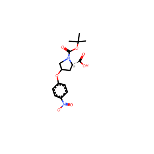 CC(C)(C)OC(=O)N1CC(Oc2ccc([N+](=O)[O-])cc2)C[C@H]1C(=O)O